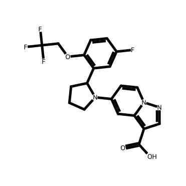 O=C(O)c1cnn2ccc(N3CCCC3c3cc(F)ccc3OCC(F)(F)F)cc12